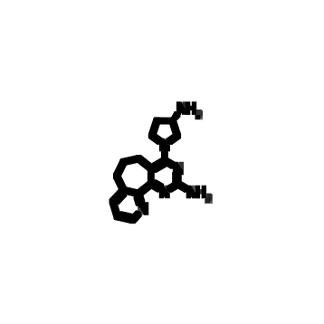 Nc1nc2c(c(N3CC[C@@H](N)C3)n1)CCCc1cccnc1-2